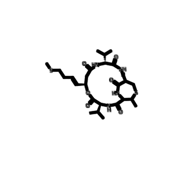 CSCC/C=C/[C@H]1CC(=O)N[C@H](C(C)C)C(=O)N[C@@H]2CSC(C)C(NC2=O)C(=O)N[C@@H](C(C)C)C(=O)O1